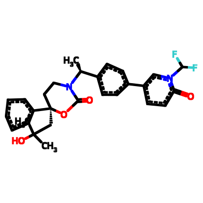 C[C@@H](c1ccc(-c2ccc(=O)n(C(F)F)c2)cc1)N1CC[C@](CC(C)(C)O)(c2ccccc2)OC1=O